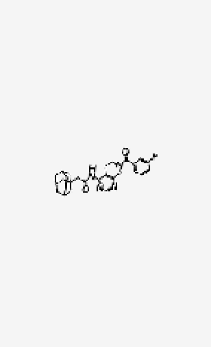 O=C(CC12CC3CC(CC(C3)C1)C2)Nc1ncnc2c1CCN(C(=O)c1cccc(F)c1)C2